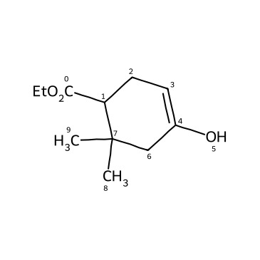 CCOC(=O)C1CC=C(O)CC1(C)C